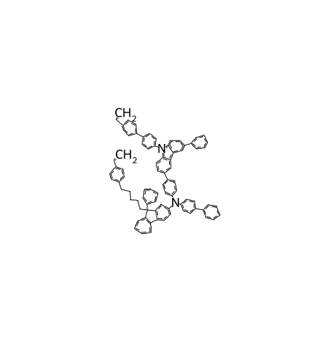 C=Cc1ccc(CCCCCC2(c3ccccc3)c3ccccc3-c3ccc(N(c4ccc(-c5ccccc5)cc4)c4ccc(-c5ccc6c(c5)c5cc(-c7ccccc7)ccc5n6-c5ccc(-c6ccc(C=C)cc6)cc5)cc4)cc32)cc1